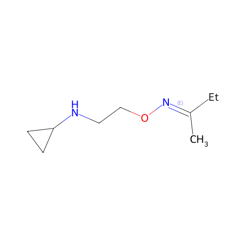 CC/C(C)=N/OCCNC1CC1